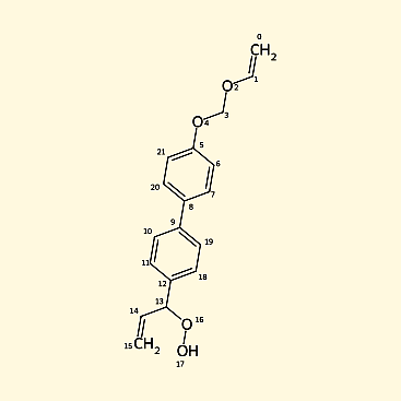 C=COCOc1ccc(-c2ccc(C(C=C)OO)cc2)cc1